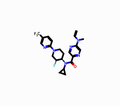 C=CN(C)c1cnc(C(=O)N(C2CC2)[C@@H]2CCN(c3ccc(C(F)(F)F)cn3)C[C@@H]2F)cn1